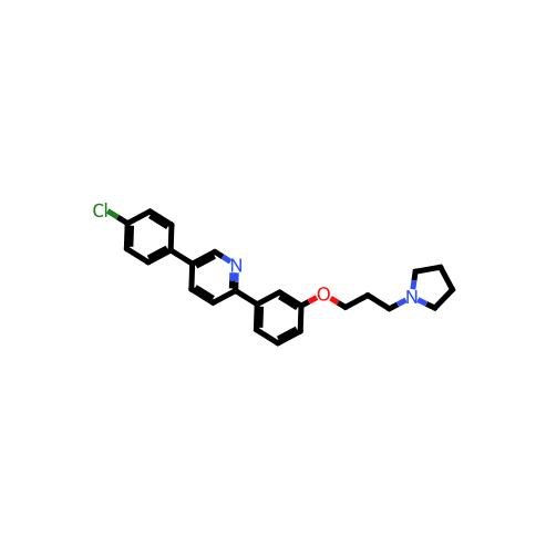 Clc1ccc(-c2ccc(-c3cccc(OCCCN4CCCC4)c3)nc2)cc1